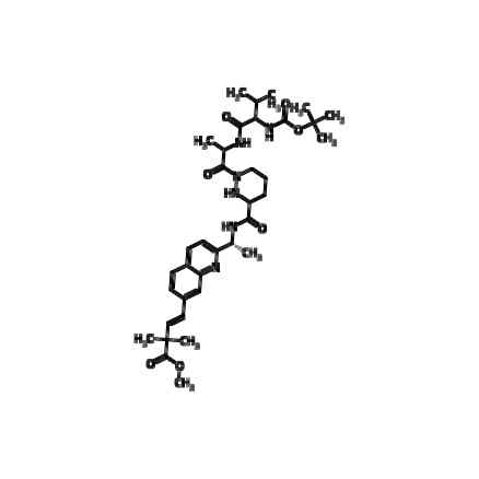 COC(=O)C(C)(C)C=Cc1ccc2ccc([C@@H](C)NC(=O)C3CCCN(C(=O)C(C)NC(=O)C(NC(=O)OC(C)(C)C)C(C)C)N3)nc2c1